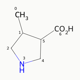 CC1CNCC1C(=O)O